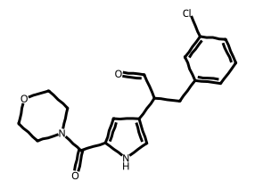 O=CC(Cc1cccc(Cl)c1)c1c[nH]c(C(=O)N2CCOCC2)c1